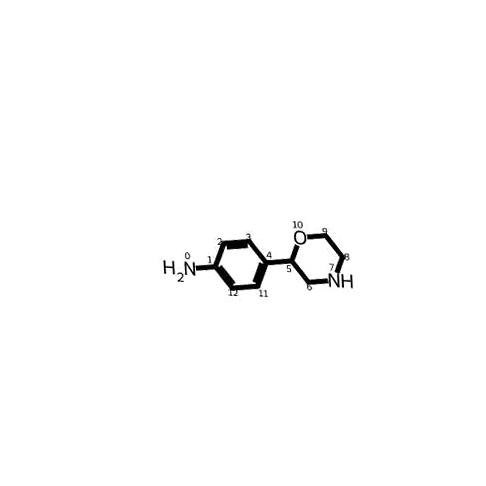 Nc1ccc(C2CNCCO2)cc1